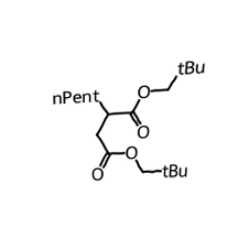 CCCCCC(CC(=O)OCC(C)(C)C)C(=O)OCC(C)(C)C